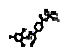 CC(C)(C)OC(=O)N1CCC(/C(CC#N)=N/Nc2c(Br)cc(F)cc2Br)CC1